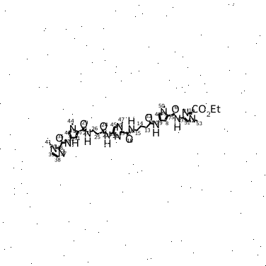 CCOC(=O)c1nc(NC(=O)c2cc(NC(=O)CCCNC(=O)c3nc(NC(=O)CCNC(=O)c4cc(NC(=O)c5nccn5C)cn4C)cn3C)cn2C)cn1C